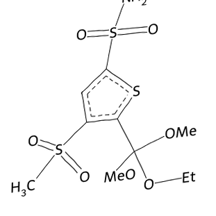 CCOC(OC)(OC)c1sc(S(N)(=O)=O)cc1S(C)(=O)=O